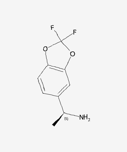 C[C@H](N)c1ccc2c(c1)OC(F)(F)O2